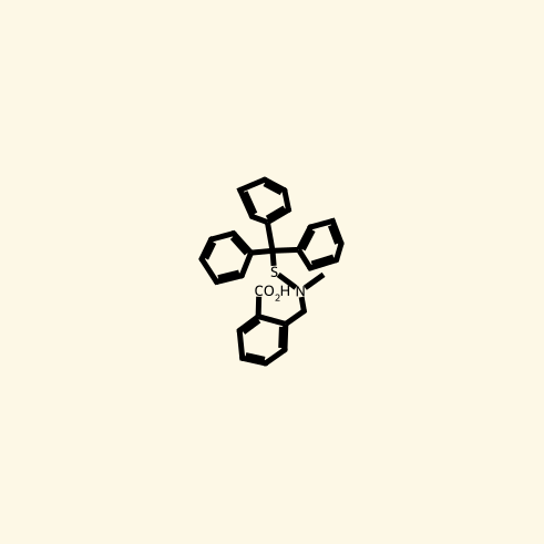 CN(Cc1ccccc1C(=O)O)SC(c1ccccc1)(c1ccccc1)c1ccccc1